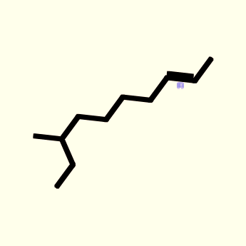 C/C=C/CCCCC(C)CC